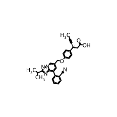 CC#C[C@@H](CC(=O)O)c1ccc(OCc2cc(-c3ccccc3C#N)c3nc(C(C)C)nn3c2)cc1